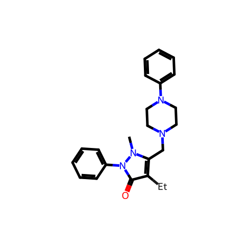 CCc1c(CN2CCN(c3ccccc3)CC2)n(C)n(-c2ccccc2)c1=O